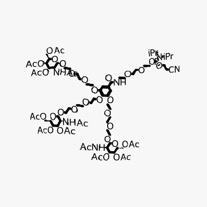 CC(=O)N[C@H]1[C@H](OCCOCCOCCOc2cc(C(=O)NCCOCCOCCOP(OCCC#N)N(C(C)C)C(C)C)cc(OCCOCCOCCO[C@@H]3O[C@H](COC(C)=O)[C@H](OC(C)=O)[C@H](OC(C)=O)[C@H]3NC(C)=O)c2OCCOCCOCCO[C@@H]2O[C@H](COC(C)=O)[C@H](OC(C)=O)[C@H](OC(C)=O)[C@H]2NC(C)=O)O[C@H](COC(C)=O)[C@H](OC(C)=O)[C@@H]1OC(C)=O